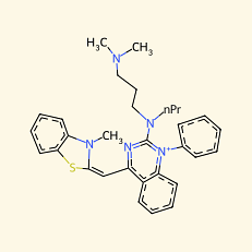 CCCN(CCCN(C)C)c1nc(/C=C2/Sc3ccccc3N2C)c2ccccc2[n+]1-c1ccccc1